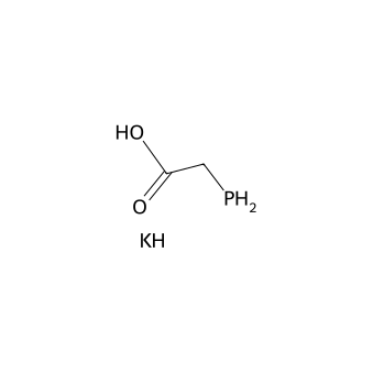 O=C(O)CP.[KH]